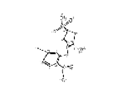 CS(=O)(=O)N1C[C@H](Oc2cc(F)ccc2[N+](=O)[O-])[C@@H](O)C1